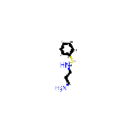 NCCCNSc1ccccc1